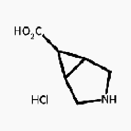 Cl.O=C(O)C1C2CNCC21